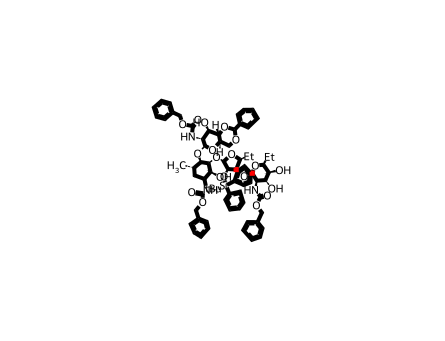 CC[C@@H]1O[C@H](O[C@H]2[C@@H](O[Si](c3ccccc3)(c3ccccc3)C(C)(C)C)[C@H](O[C@H]3[C@H](O[C@H]4O[C@@H]5COC(c6ccccc6)O[C@H]5[C@H](O)[C@H]4NC(=O)OCc4ccccc4)[C@@H](C)CC(NC(=O)OCc4ccccc4)[C@@H]3O)O[C@@H]2CC)[C@H](NC(=O)OCc2ccccc2)[C@@H](O)[C@@H]1O